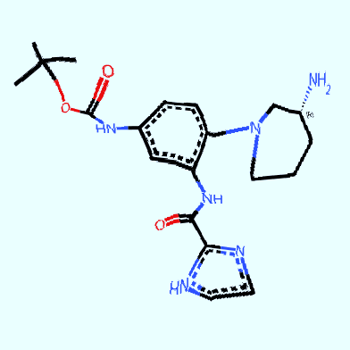 CC(C)(C)OC(=O)Nc1ccc(N2CCC[C@@H](N)C2)c(NC(=O)c2ncc[nH]2)c1